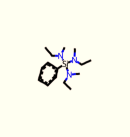 CCN(C)[Si](c1ccccc1)(N(C)CC)N(C)CC